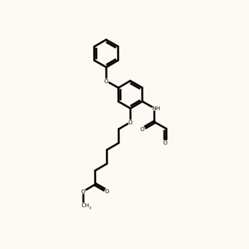 COC(=O)CCCCCOc1cc(Oc2ccccc2)ccc1NC(=O)C=O